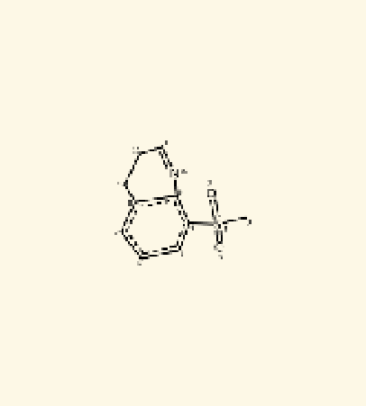 CS(=O)(=O)c1cccc2c1N=CCC2